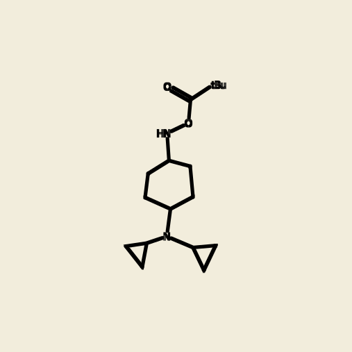 CC(C)(C)C(=O)ONC1CCC(N(C2CC2)C2CC2)CC1